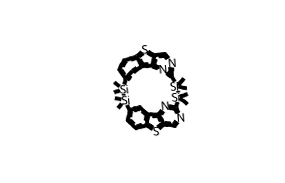 C[Si]1(C)c2ccc3sc4cnc(nc4c3c2)[Si](C)(C)[Si](C)(C)c2ncc3sc4ccc(cc4c3n2)[Si]1(C)C